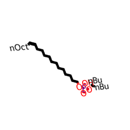 CCCCCCCC/C=C\CCCCCCCCCCCCOP(=O)(O)OC(CCCC)CCCC